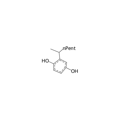 CCCCCC(C)c1cc(O)ccc1O